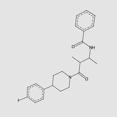 CC(NC(=O)c1ccccc1)C(C)C(=O)N1CCC(c2ccc(F)cc2)CC1